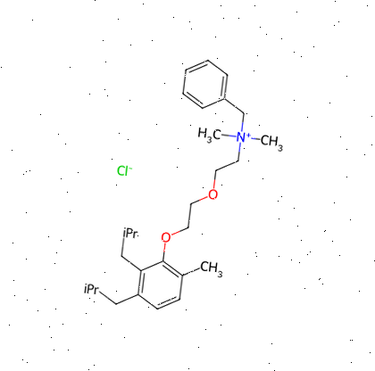 Cc1ccc(CC(C)C)c(CC(C)C)c1OCCOCC[N+](C)(C)Cc1ccccc1.[Cl-]